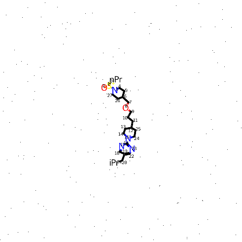 CCC[S+]([O-])N1CCC(COCCCC2CCN(c3ncc(CC(C)C)cn3)CC2)CC1